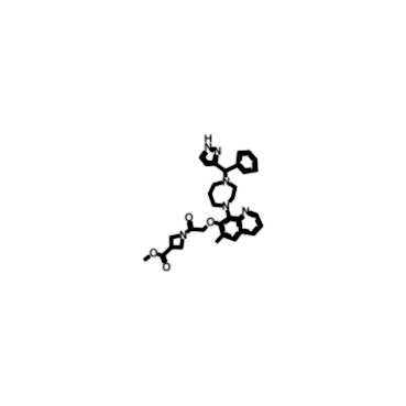 COC(=O)C1CN(C(=O)COc2c(C)cc3cccnc3c2N2CCCN(C(c3ccccc3)c3cc[nH]n3)CC2)C1